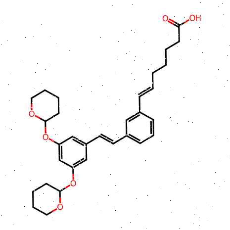 O=C(O)CCCCC=Cc1cccc(C=Cc2cc(OC3CCCCO3)cc(OC3CCCCO3)c2)c1